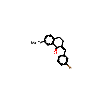 COc1ccc2c(c1)C(=O)/C(=C\c1cccc(Br)c1)CC2